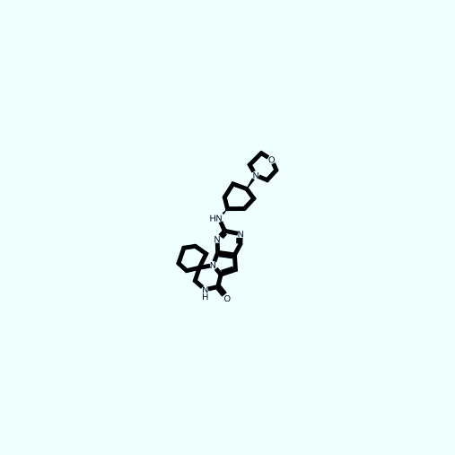 O=C1NCC2(CCCCC2)n2c1cc1cnc(N[C@H]3CC[C@H](N4CCOCC4)CC3)nc12